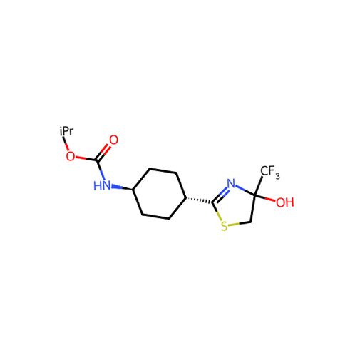 CC(C)OC(=O)N[C@H]1CC[C@H](C2=NC(O)(C(F)(F)F)CS2)CC1